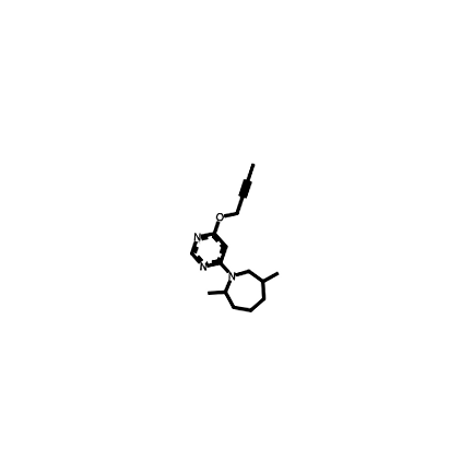 CC#CCOc1cc(N2CC(C)CCCC2C)ncn1